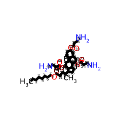 CCCCCCCCOC(=O)CCC(C)C1CC[C@H]2C3[C@H](OC(=O)CCN)CC4C[C@H](OC(=O)CCN)CCC4(C)[C@H]3C[C@H](OC(=O)CCN)C12C